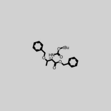 CC(OCc1ccccc1)[C@H](NC(=O)OC(C)(C)C)C(=O)OCc1ccccc1